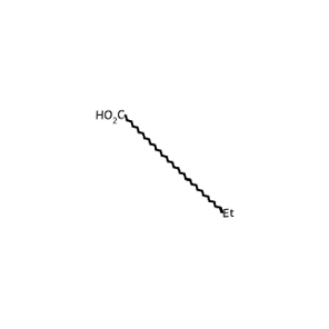 CCC=CCCCCCCCCCC=CCCCCCCCCCCCCCCCCCCCCCC(=O)O